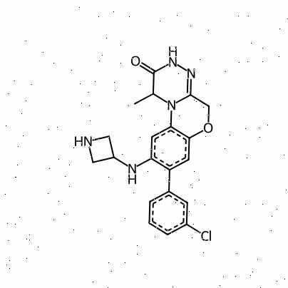 CC1C(=O)NN=C2COc3cc(-c4cccc(Cl)c4)c(NC4CNC4)cc3N21